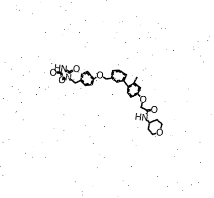 Cc1cc(OCC(=O)NC2CCOCC2)ccc1-c1cccc(COc2ccc(Cn3oc(=O)[nH]c3=O)cc2)c1